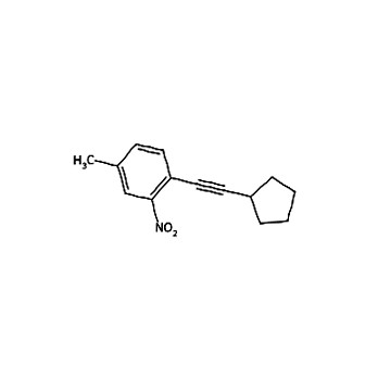 Cc1ccc(C#CC2CCCC2)c([N+](=O)[O-])c1